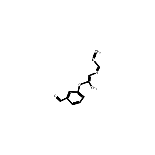 C=N/C=N\C=C(/C)Oc1cccc(C=O)c1